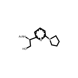 CC(=O)N[C@H](CO)c1cccc(N2CCCC2)n1